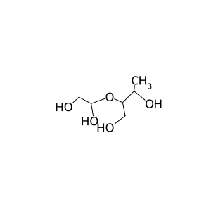 CC(O)C(CO)OC(O)CO